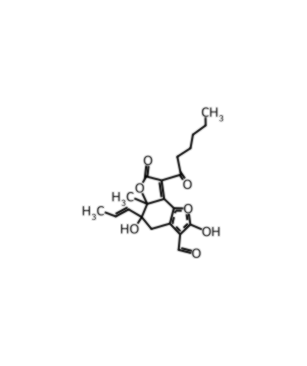 C/C=C/C1(O)Cc2c(oc(O)c2C=O)C2=C(C(=O)CCCCC)C(=O)OC21C